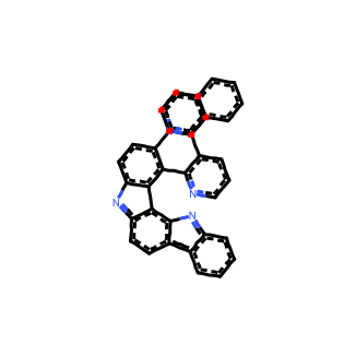 c1ccc(-c2ccc3c(c2-c2ncccc2-c2nccc4ccccc24)-c2c4c(ccc2=N3)=c2ccccc2=N4)cc1